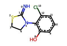 N=C1SCCN1c1c(O)cccc1Cl